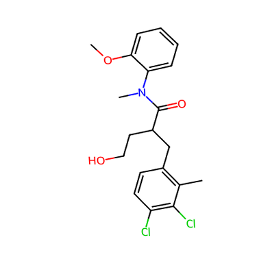 COc1ccccc1N(C)C(=O)C(CCO)Cc1ccc(Cl)c(Cl)c1C